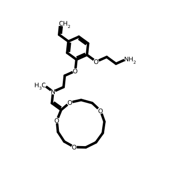 C=Cc1ccc(OCCN)c(OCCN(C)C=C2OCCOCCCCOCCO2)c1